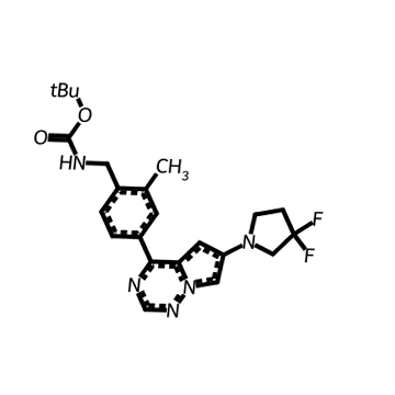 Cc1cc(-c2ncnn3cc(N4CCC(F)(F)C4)cc23)ccc1CNC(=O)OC(C)(C)C